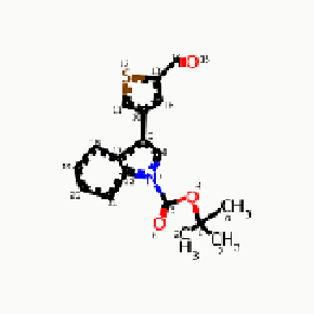 CC(C)(C)OC(=O)n1cc(-c2csc(C=O)c2)c2ccccc21